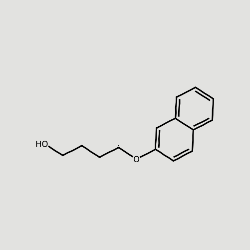 OCCC[CH]Oc1ccc2ccccc2c1